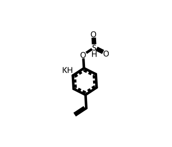 C=Cc1ccc(O[SH](=O)=O)cc1.[KH]